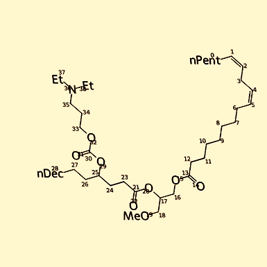 CCCCC/C=C\C/C=C\CCCCCCCC(=O)OCC(COC)OC(=O)CCC(CCCCCCCCCCCC)OC(=O)OCCCN(CC)CC